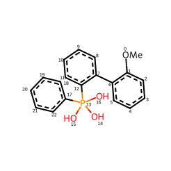 COc1ccccc1-c1ccccc1P(O)(O)(O)c1ccccc1